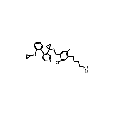 CCNCCCCc1cc(Cl)c(COC2(c3cnccc3-c3ccccc3OC3CC3)CC2)cc1C